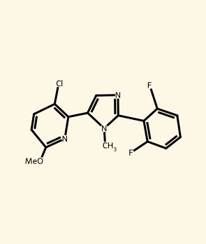 COc1ccc(Cl)c(-c2cnc(-c3c(F)cccc3F)n2C)n1